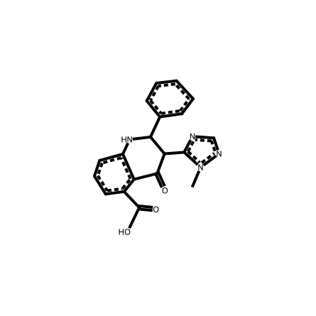 Cn1ncnc1C1C(=O)c2c(cccc2C(=O)O)NC1c1ccccc1